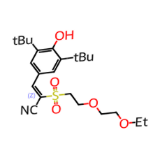 CCOCCOCCS(=O)(=O)/C(C#N)=C\c1cc(C(C)(C)C)c(O)c(C(C)(C)C)c1